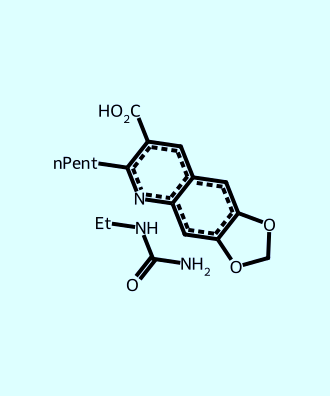 CCCCCc1nc2cc3c(cc2cc1C(=O)O)OCO3.CCNC(N)=O